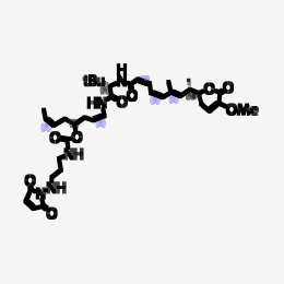 C/C=C\C[C@@H](C/C=C\NC(=O)[C@@H](NC(=O)\C=C/C=C\C(C)=C\[C@H](C)[C@@H]1CC=C(OC)C(=O)O1)C(C)(C)C)OC(=O)NCCCNN1C(=O)C=CC1=O